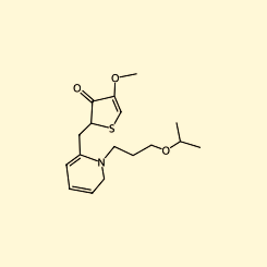 COC1=CSC(CC2=CC=CCN2CCCOC(C)C)C1=O